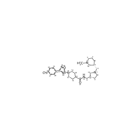 CN1CCC[C@H](CN2CCC(CNC(=O)C3CCN(c4nc(-c5ccc(Cl)cc5)no4)CC3)C2)C1